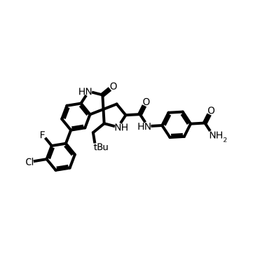 CC(C)(C)CC1NC(C(=O)Nc2ccc(C(N)=O)cc2)CC12C(=O)Nc1ccc(-c3cccc(Cl)c3F)cc12